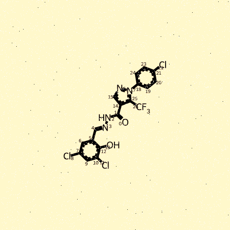 O=C(N/N=C/c1cc(Cl)cc(Cl)c1O)c1cnn(-c2ccc(Cl)cc2)c1C(F)(F)F